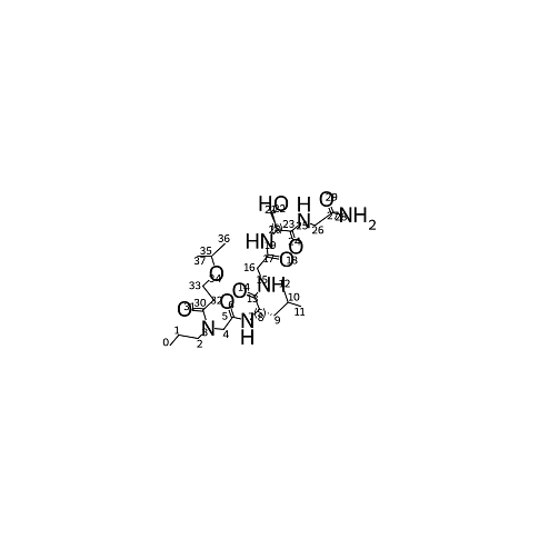 CCCN(CC(=O)N[C@@H](CC(C)C)C(=O)NCC(=O)N[C@@H](CO)C(=O)NCC(N)=O)C(=O)CCOC(C)C